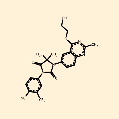 Cc1nc(OCCO)c2cc(N3C(=S)N(c4ccc(C#N)c(C(F)(F)F)c4)C(=O)C3(C)C)ccc2n1